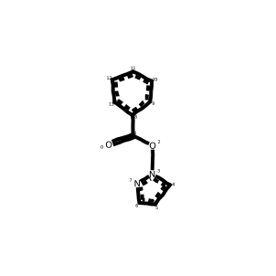 O=C(On1cccn1)c1ccccc1